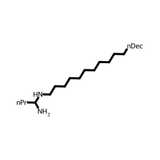 CCCCCCCCCCCCCCCCCCCCCNC(N)CCC